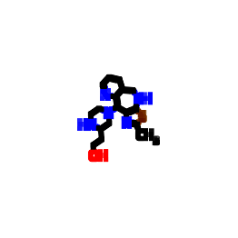 Cc1nc2c(s1)NC=c1cccnc1=C2N1CCNC(CCO)C1